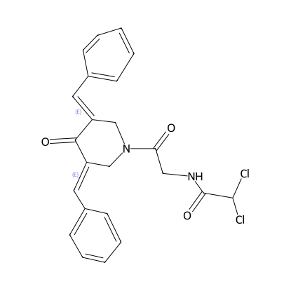 O=C1/C(=C/c2ccccc2)CN(C(=O)CNC(=O)C(Cl)Cl)C/C1=C\c1ccccc1